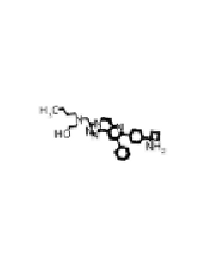 CCCCN(CCO)Cc1nnc2c3cc(-c4ccccc4)c(-c4ccc(C5(N)CCC5)cc4)nc3ccn12